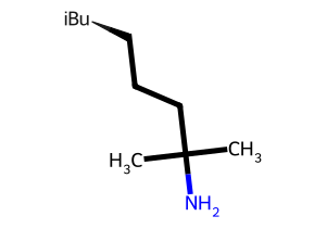 CC[C@H](C)CCCC(C)(C)N